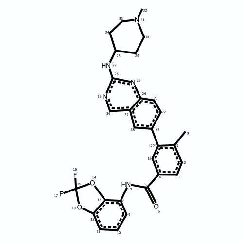 Cc1ccc(C(=O)Nc2cccc3c2OC(F)(F)O3)cc1-c1ccc2nc(NC3CCN(C)CC3)ncc2c1